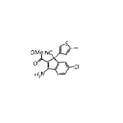 COC(=O)C1=C(N)c2ccc(Cl)cc2C1(C#N)c1csc(C)c1